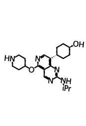 CC(C)Nc1ncc2c(OC3CCNCC3)ncc([C@H]3CC[C@H](O)CC3)c2n1